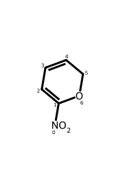 O=[N+]([O-])C1=CC=CCO1